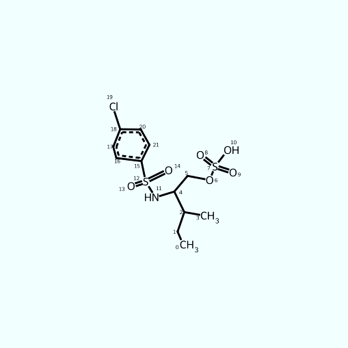 CCC(C)C(COS(=O)(=O)O)NS(=O)(=O)c1ccc(Cl)cc1